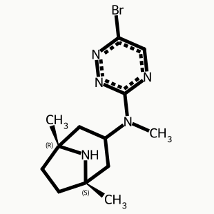 CN(c1ncc(Br)nn1)C1C[C@]2(C)CC[C@](C)(C1)N2